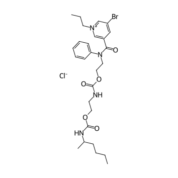 CCCCC(C)NC(=O)OCCNC(=O)OCCN(C(=O)c1cc(Br)c[n+](CCC)c1)c1ccccc1.[Cl-]